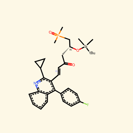 CC(C)(C)[Si](C)(C)O[C@H](CC(=O)/C=C/c1c(C2CC2)nc2ccccc2c1-c1ccc(F)cc1)CP(C)(C)=O